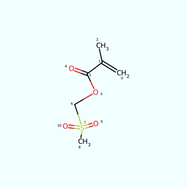 C=C(C)C(=O)OCS(C)(=O)=O